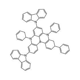 C1=CCC(N2c3cc(-n4c5ccccc5c5ccccc54)ccc3B3C4=C(CC(c5ccccc5)C=C4)N(c4ccccc4)c4cc(-n5c6ccccc6c6ccccc65)cc2c43)C=C1